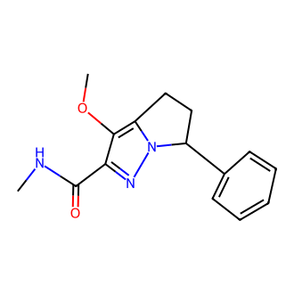 CNC(=O)c1nn2c(c1OC)CCC2c1ccccc1